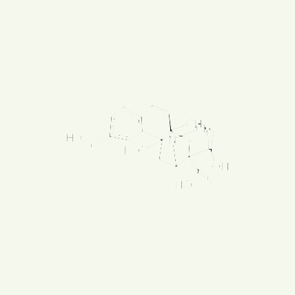 COc1ccc2c(c1)C1(C)CC3N(C)C(C2)C1(C)CC3(C(=O)O)C(=O)O